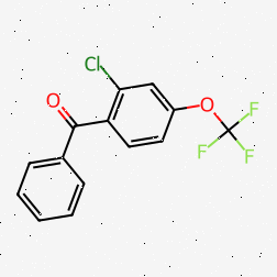 O=C(c1ccccc1)c1ccc(OC(F)(F)F)cc1Cl